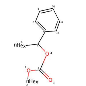 CCCCCCOC(=O)OC(CCCCCC)c1ccccc1